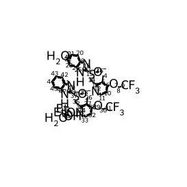 CCO.CCO.Cc1c(OCC(F)(F)F)ccnc1C[S+]([O-])c1nc2ccccc2[nH]1.Cc1c(OCC(F)(F)F)ccnc1C[S+]([O-])c1nc2ccccc2[nH]1.O.O